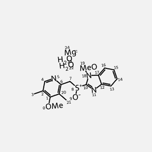 COc1c(C)cnc(C[S+]([O-])c2nc3ccccc3n2OC)c1C.O.O.[Mg]